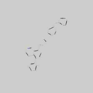 Cc1c(C(=O)O)cccc1-c1ccc(CNC(=O)Cc2ccc(Oc3ccccc3)cc2)c2cnccc12